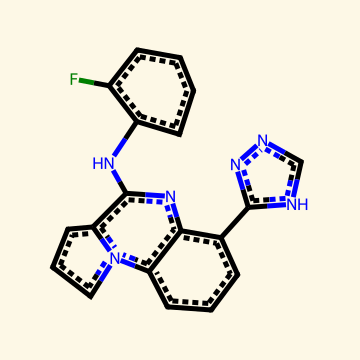 Fc1ccccc1Nc1nc2c(-c3nnc[nH]3)cccc2n2cccc12